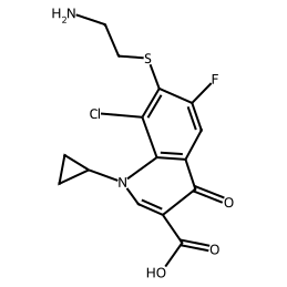 NCCSc1c(F)cc2c(=O)c(C(=O)O)cn(C3CC3)c2c1Cl